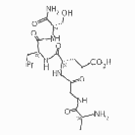 CC(C)C[C@H](NC(=O)[C@H](CCC(=O)O)NC(=O)CNC(=O)[C@H](C)N)C(=O)N[C@@H](CO)C(N)=O